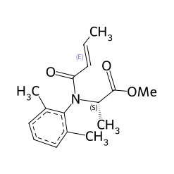 C/C=C/C(=O)N(c1c(C)cccc1C)[C@@H](C)C(=O)OC